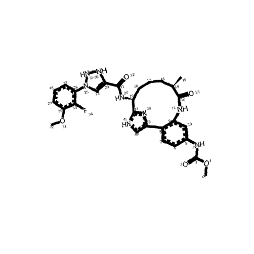 COC(=O)Nc1ccc2c(c1)NC(=O)[C@H](C)CCC[C@H](NC(=O)C1=CN(c3cccc(OC)c3F)NN1)c1nc-2c[nH]1